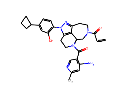 C=CC(=O)N1CCc2nn(-c3ccc(C4CCC4)cc3O)c3c2[C@H](C1)N(C(=O)c1cnc(C(F)(F)F)cc1N)CC3